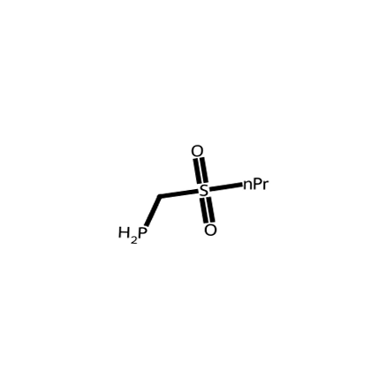 CCCS(=O)(=O)CP